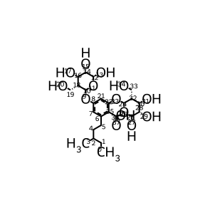 CCC(C)CCc1cc(OC2O[C@H](O)[C@@H](O)[C@H](O)[C@H]2CO)cc(OC2O[C@H](O)[C@@H](O)[C@H](O)[C@H]2CO)c1C(=O)O